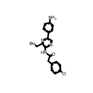 CCC(C)Cc1nc(-c2ccc(N)cc2)cnc1NC(=O)Cc1ccc(Cl)cc1